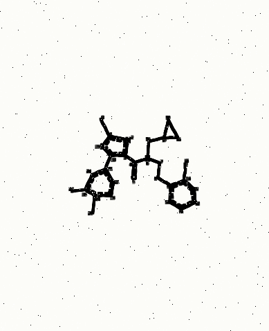 Cc1nc(C(=O)N(CCc2ccccc2F)CC2CC2)c(-c2ccc(C)c(C)c2)s1